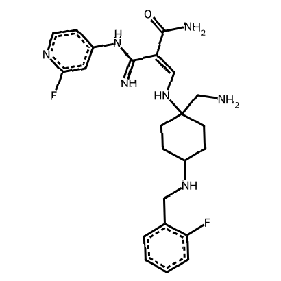 N=C(Nc1ccnc(F)c1)/C(=C\NC1(CN)CCC(NCc2ccccc2F)CC1)C(N)=O